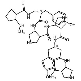 CNC1CCCC1C(=O)NC[C@H](Cc1ccc(O)cc1)C(=O)NC1CNCC1C(=O)NC1CNCC1C(=O)N[C@H](CC(=O)NC1CNCC1C(N)=O)Cc1ccc(O)cc1